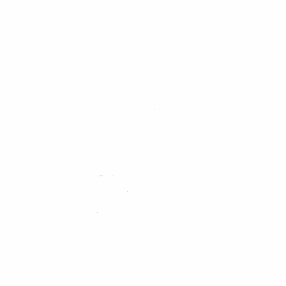 CCOC(=O)C(CC(=O)c1ccccc1)C(=O)CC12CC3CC(CC(C3)C1)C2